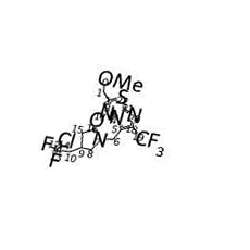 COCc1nn2c(CN3CC(CC(F)(F)Cl)CC3=O)c(C(F)(F)F)nc2s1